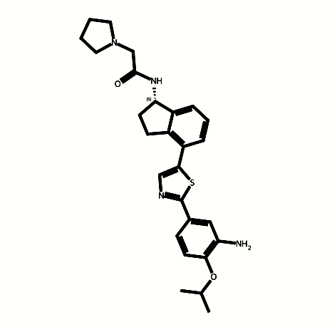 CC(C)Oc1ccc(-c2ncc(-c3cccc4c3CC[C@@H]4NC(=O)CN3CCCC3)s2)cc1N